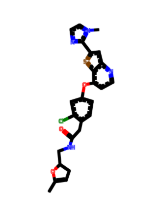 CC1=CCC(CNC(=O)Cc2ccc(Oc3ccnc4cc(-c5nccn5C)sc34)cc2Cl)O1